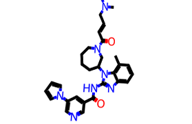 Cc1cccc2nc(NC(=O)c3cncc(-n4cccc4)c3)n(C3CCCCN(C(=O)C=CCN(C)C)C3)c12